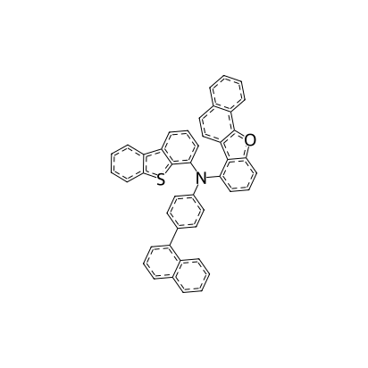 c1ccc2c(-c3ccc(N(c4cccc5c4sc4ccccc45)c4cccc5oc6c7ccccc7ccc6c45)cc3)cccc2c1